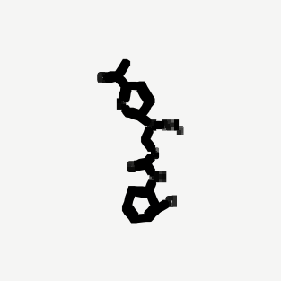 CC(=O)c1ccc(N(N)CSC(=O)Nc2ccccc2Cl)cn1